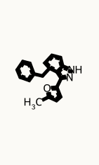 Cc1ccc(-c2n[nH]c3cccc(Cc4ccccc4)c23)o1